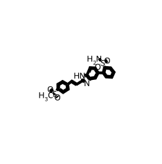 CS(=O)(=O)c1ccc(C=Cc2nc3cc(-c4ccccc4S(N)(=O)=O)ccc3[nH]2)cc1